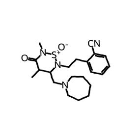 CC1C(=O)N(C)[S+]([O-])N(CCc2ccccc2C#N)C1CN1CCCCCC1